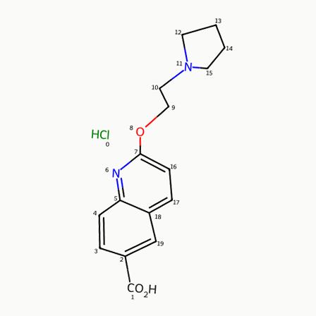 Cl.O=C(O)c1ccc2nc(OCCN3CCCC3)ccc2c1